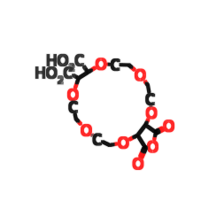 O=C(O)C1OCCOCCOC2C(=O)OC(=O)C2OCCOCCOC1C(=O)O